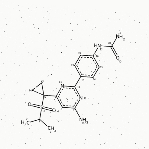 CC(C)S(=O)(=O)C1(c2cc(N)nc(-c3ccc(NC(N)=O)cc3)n2)CC1